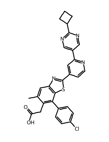 Cc1cc2nc(-c3ccnc(-c4cnc(C5CCC5)nc4)c3)sc2c(-c2ccc(Cl)cc2)c1CC(=O)O